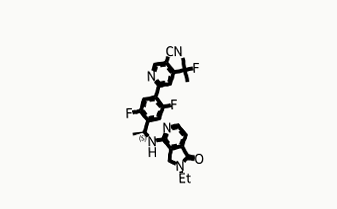 CCN1Cc2c(ccnc2N[C@@H](C)c2cc(F)c(-c3cc(C(C)(C)F)c(C#N)cn3)cc2F)C1=O